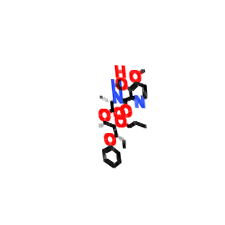 CCCO[C@@H]([C@H](C)OC(=O)[C@H](C)NC(=O)c1nccc(OC)c1O)[C@H](CC)Oc1ccccc1